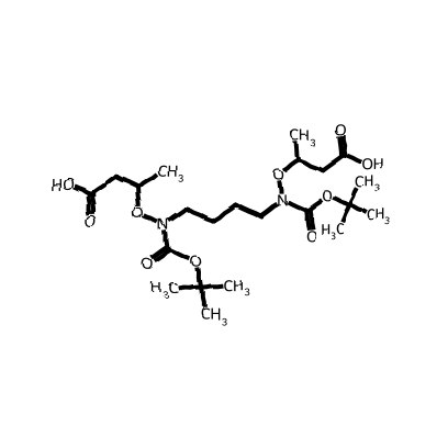 CC(CC(=O)O)ON(CCCCN(OC(C)CC(=O)O)C(=O)OC(C)(C)C)C(=O)OC(C)(C)C